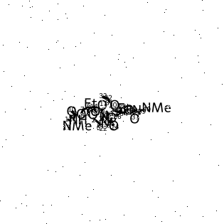 C=CCOCC(CC)(COC(=O)NCNC)COC(=O)N(C)CN(C)C(=O)OCC(CC)(COCC=C)COC(=O)NCNC